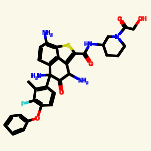 Cc1c(C2(N)C(=O)C(N)c3c(C(=O)NC4CCCN(C(=O)CO)C4)sc4c(N)ccc2c34)ccc(Oc2ccccc2)c1F